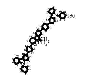 CC(C)(C)c1ccc(-n2c3ccccc3c3cc(-c4ccc(-c5ccc6c(c5)C(C)(C)c5cc(-c7ccc(-c8ccc9c(c8)c8ccccc8n9-c8ccccc8)cc7)ccc5-6)cc4)ccc32)cc1